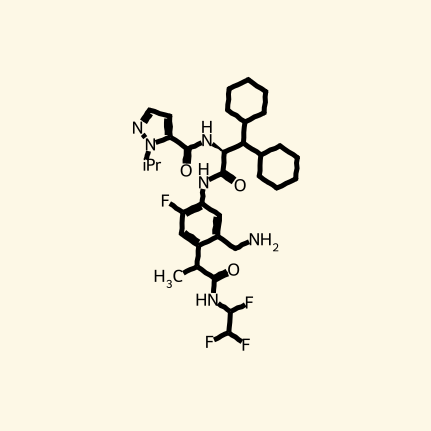 CC(C(=O)NC(F)C(F)F)c1cc(F)c(NC(=O)[C@@H](NC(=O)c2ccnn2C(C)C)C(C2CCCCC2)C2CCCCC2)cc1CN